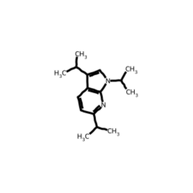 CC(C)c1ccc2c(C(C)C)cn(C(C)C)c2n1